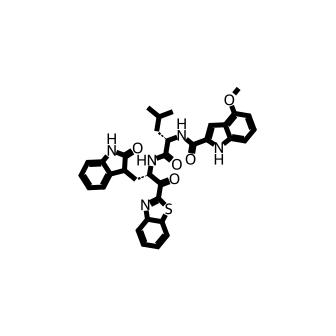 COc1cccc2[nH]c(C(=O)N[C@@H](CC(C)C)C(=O)N[C@@H](CC3C(=O)Nc4ccccc43)C(=O)C3=NC4C=CC=CC4S3)cc12